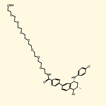 COCCOCCOCCOCCOCCOCCOCCOCCNC(=O)c1ccc(-c2ccc3c(c2)[C@H](Nc2ccc(Cl)cc2)C[C@H](C)C3C(C)=O)cc1